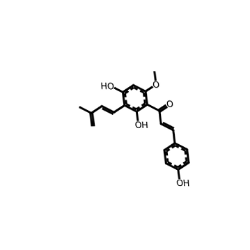 C=C(C)C=Cc1c(O)cc(OC)c(C(=O)C=Cc2ccc(O)cc2)c1O